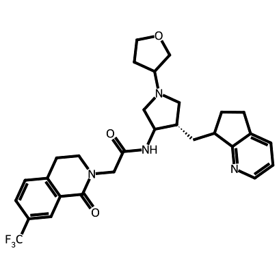 O=C(CN1CCc2ccc(C(F)(F)F)cc2C1=O)NC1CN(C2CCOC2)C[C@@H]1CC1CCc2cccnc21